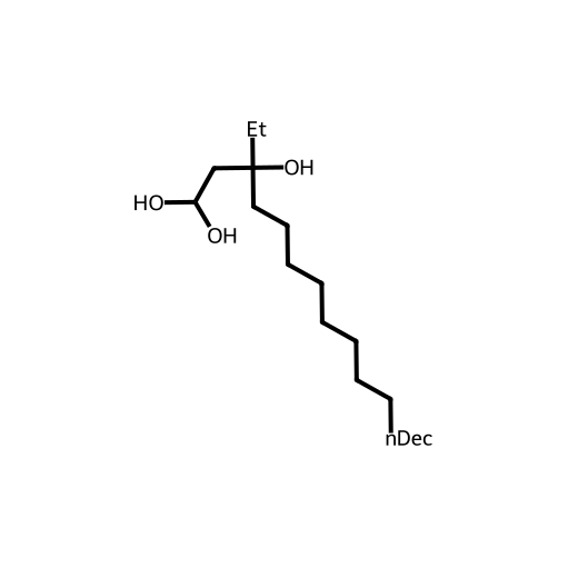 [CH2]CC(O)(CCCCCCCCCCCCCCCCCC)CC(O)O